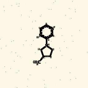 [CH2]C1CCN(c2cnccn2)C1